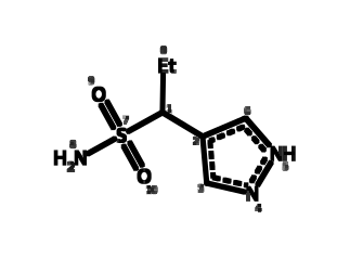 CCC(c1cn[nH]c1)S(N)(=O)=O